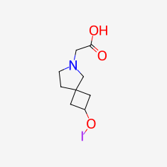 O=C(O)CN1CCC2(CC(OI)C2)C1